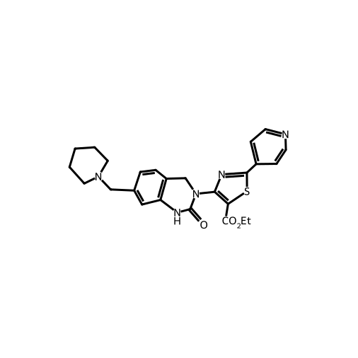 CCOC(=O)c1sc(-c2ccncc2)nc1N1Cc2ccc(CN3CCCCC3)cc2NC1=O